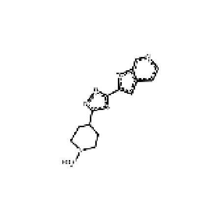 O=C(O)N1CCC(c2noc(-c3cc4ccncc4o3)n2)CC1